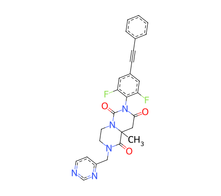 CC12CC(=O)N(c3c(F)cc(C#Cc4ccccc4)cc3F)C(=O)N1CCN(Cc1ccncn1)C2=O